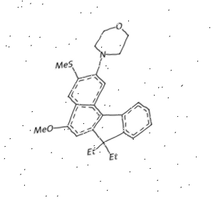 CCC1(CC)c2ccccc2-c2c1cc(OC)c1cc(SC)c(N3CCOCC3)cc21